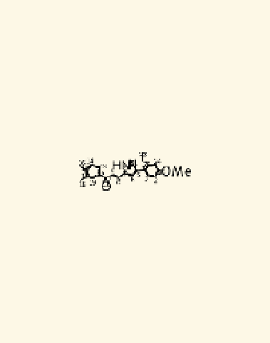 COc1ccc(-c2cc(C=CC(=O)c3ccc(C)c(C)c3)[nH]n2)c(F)c1